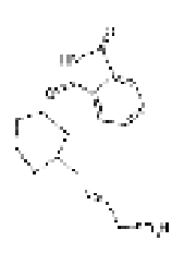 C=CCS(=O)(=O)O.CC1CCCCC1.O=C1NC(=O)c2ccccc21